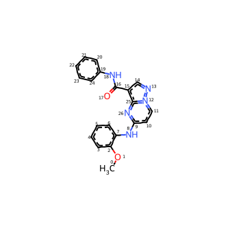 COc1ccccc1Nc1ccn2ncc(C(=O)Nc3ccccc3)c2n1